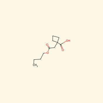 CCCCOC(=O)CC1(C(=O)O)CCC1